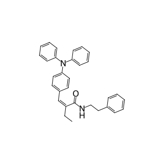 CC/C(=C/c1ccc(N(c2ccccc2)c2ccccc2)cc1)C(=O)NCCc1ccccc1